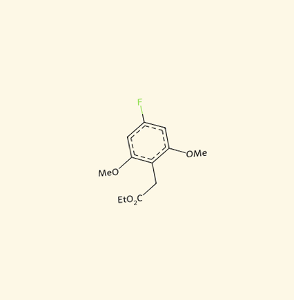 CCOC(=O)Cc1c(OC)cc(F)cc1OC